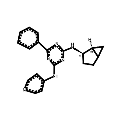 c1ccc(-c2nc(Nc3ccncc3)nc(N[C@@H]3CCC4C[C@@H]43)n2)cc1